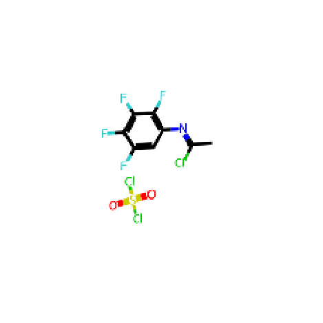 CC(Cl)=Nc1cc(F)c(F)c(F)c1F.O=S(=O)(Cl)Cl